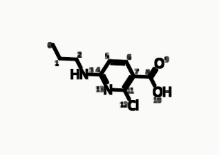 CCCNc1ccc(C(=O)O)c(Cl)n1